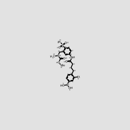 CCc1cc(B(O)O)ccc1CCCC(=O)Nc1ccc(S(=O)(=O)C(C)C)c(CN(C)C(=O)OC(C)(C)C)c1